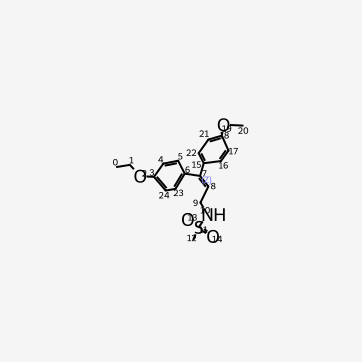 CCOc1ccc(/C(=C\CNS(C)(=O)=O)c2ccc(OC)cc2)cc1